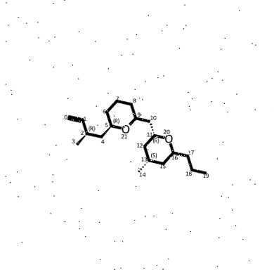 C=C[C@H](C)C[C@H]1CCCC(C[C@H]2C[C@@H](C)CC(CCC)O2)O1